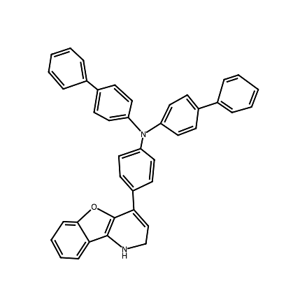 C1=C(c2ccc(N(c3ccc(-c4ccccc4)cc3)c3ccc(-c4ccccc4)cc3)cc2)c2oc3ccccc3c2NC1